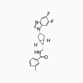 Cc1cccc(C(=O)NC[C@@H]2[C@H]3C[C@H](n4cnc5cc(F)c(F)cc54)C[C@@H]23)c1